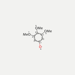 COc1cc([O])cc(OC)c1OC